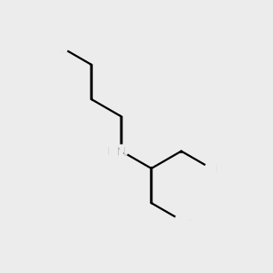 CCCCNC(CC)CC